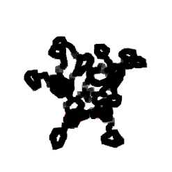 O=P(OC1Cc2c(OCc3ccccc3)cc(OCc3ccccc3)cc2OC1c1ccc(OCc2ccccc2)c(OCc2ccccc2)c1)(OC1Cc2c(OCc3ccccc3)cc(OCc3ccccc3)cc2OC1c1ccc(OCc2ccccc2)c(OCc2ccccc2)c1)OC1Cc2c(OCc3ccccc3)cc(OCc3ccccc3)cc2OC1c1ccc(OCc2ccccc2)c(OCc2ccccc2)c1